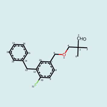 CC(C)(C=O)COCc1ccc(F)c(Cc2ccccc2)c1